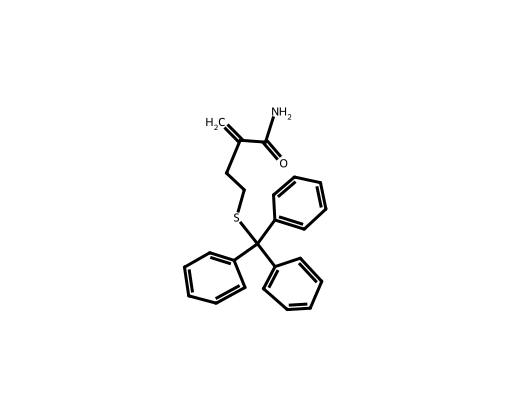 C=C(CCSC(c1ccccc1)(c1ccccc1)c1ccccc1)C(N)=O